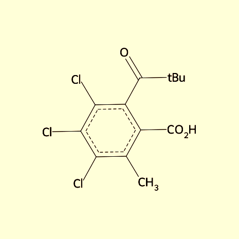 Cc1c(Cl)c(Cl)c(Cl)c(C(=O)C(C)(C)C)c1C(=O)O